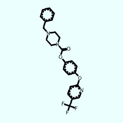 O=C(Oc1ccc(Oc2ccc(C(F)(F)F)cn2)cc1)N1CCN(Cc2ccccc2)CC1